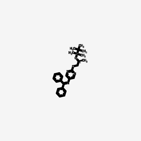 C[C@@H](COc1ncc(N=C(c2ccccc2)c2ccccc2)cn1)O[Si](C)(C)C(C)(C)C